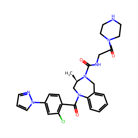 C[C@@H]1CN(C(=O)c2ccc(-n3cccn3)cc2Cl)c2ccccc2CN1C(=O)NCC(=O)N1CCNCC1